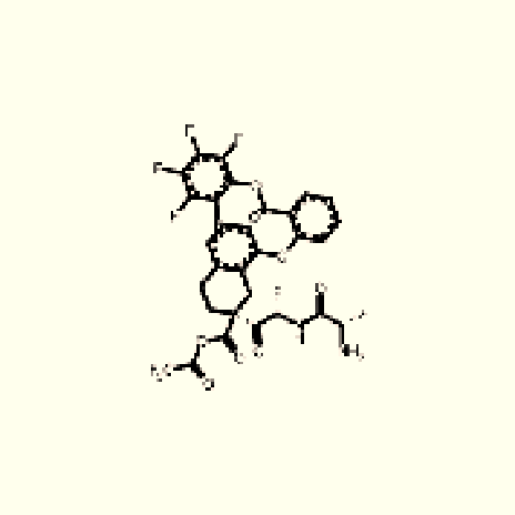 C[C@H](N)C(=O)N[C@@H](C)C(=O)[C@]1(C(=O)OC(=O)C(F)(F)F)CCc2cccc(Oc3ccccc3C(=O)Oc3c(F)c(F)c(F)c(F)c3F)c2C1